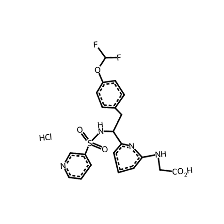 Cl.O=C(O)CNc1cccc(C(Cc2ccc(OC(F)F)cc2)NS(=O)(=O)c2cccnc2)n1